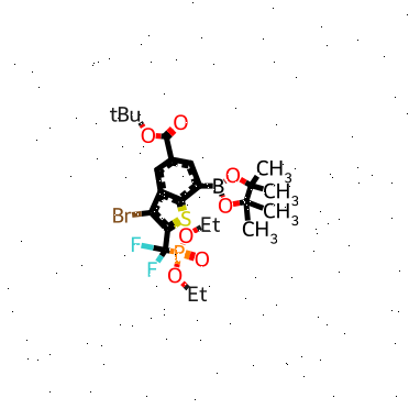 CCOP(=O)(OCC)C(F)(F)c1sc2c(B3OC(C)(C)C(C)(C)O3)cc(C(=O)OC(C)(C)C)cc2c1Br